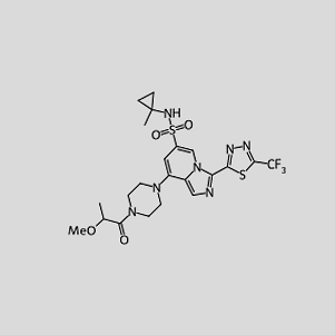 COC(C)C(=O)N1CCN(c2cc(S(=O)(=O)NC3(C)CC3)cn3c(-c4nnc(C(F)(F)F)s4)ncc23)CC1